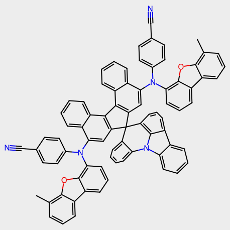 Cc1cccc2c1oc1c(N(c3ccc(C#N)cc3)c3cc4c(c5ccccc35)-c3c(cc(N(c5ccc(C#N)cc5)c5cccc6c5oc5c(C)cccc56)c5ccccc35)C43c4ccccc4-n4c5ccccc5c5cccc3c54)cccc12